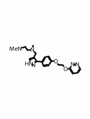 CNCCN(C)Cc1c[nH]nc1-c1ccc(OCCOc2cccnn2)cc1